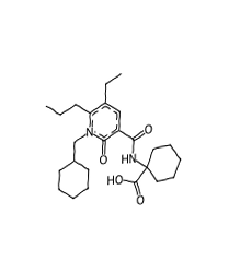 CCCc1c(CC)cc(C(=O)NC2(C(=O)O)CCCCC2)c(=O)n1CC1CCCCC1